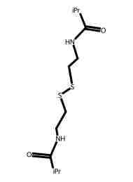 CC(C)C(=O)NCCSSCCNC(=O)C(C)C